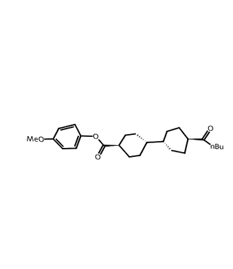 CCCCC(=O)[C@H]1CC[C@H]([C@H]2CC[C@H](C(=O)Oc3ccc(OC)cc3)CC2)CC1